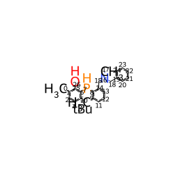 Cc1cc(C(C)(C)C)cc(Pc2c(C)cccc2CN(C)Cc2ccccc2)c1O